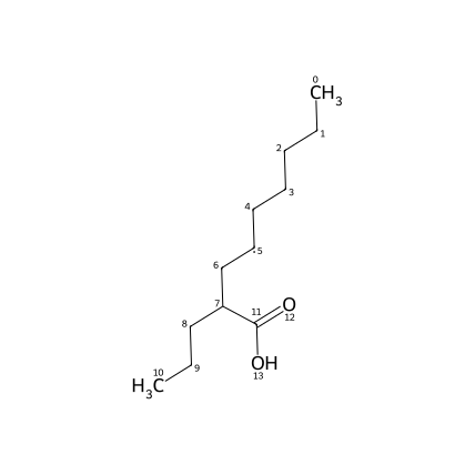 CCCCC[CH]CC(CCC)C(=O)O